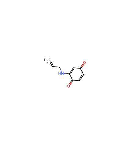 C=CCNC1=CC(=O)C=CC1=O